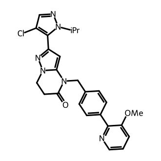 COc1cccnc1-c1ccc(CN2C(=O)CCn3nc(-c4c(Cl)cnn4C(C)C)cc32)cc1